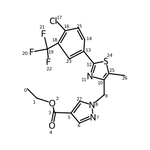 CCOC(=O)c1cnn(Cc2nc(-c3ccc(Cl)c(C(F)(F)F)c3)sc2C)c1